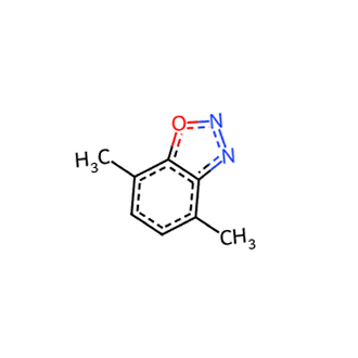 Cc1ccc(C)c2onnc12